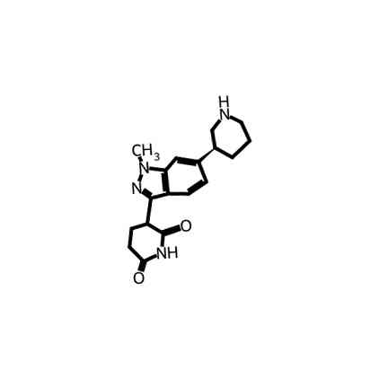 Cn1nc(C2CCC(=O)NC2=O)c2ccc([C@@H]3CCCNC3)cc21